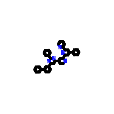 c1ccc(-c2cccc(-c3cc(-c4ccnc(-c5cc(-c6ccccc6)cc(-c6ccccn6)n5)c4)nc(-c4ccccc4)n3)c2)cc1